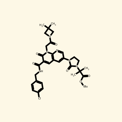 CC1(C)CN(C(=O)Cn2c(=O)c(C(=O)NCc3ccc(Cl)cc3)cc3cc(N4CCN(C(C)(C)C(=O)OC(C)(C)C)C4=O)cnc32)C1